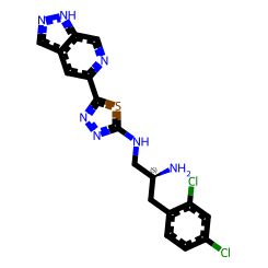 N[C@H](CNc1nnc(-c2cc3cn[nH]c3cn2)s1)Cc1ccc(Cl)cc1Cl